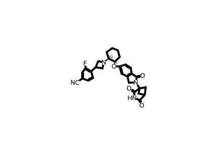 N#Cc1ccc(C2CN([C@H]3CCCC[C@@H]3Oc3ccc4c(c3)CN(C35CC(C3)C(=O)NC5=O)C4=O)C2)c(F)c1